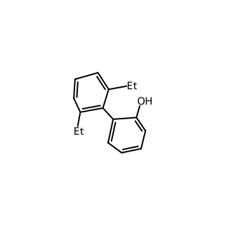 CCc1cccc(CC)c1-c1ccccc1O